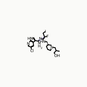 CC(CO)CN1CCC[C@@H](CNC(/N=C(\N)c2c[nH]c3ncc(Cl)cc23)=C(\F)CI)C1